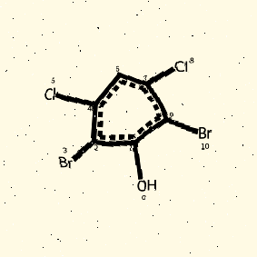 Oc1c(Br)c(Cl)cc(Cl)c1Br